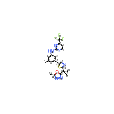 Cc1cc(Nc2nccc(C(F)(F)F)n2)cc(-c2cnc(C3(c4nnc(C)o4)CC3)s2)c1